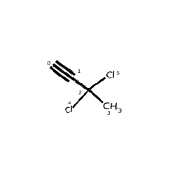 [C]#CC(C)(Cl)Cl